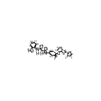 Cn1ccnc1-c1cc2nccc(Oc3ccc(NC(=O)CC(=O)Nc4ccccc4OF)cc3F)c2s1